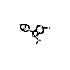 Clc1cc2c(cn1)c(N1CC3CC(C1)O3)nn2PI